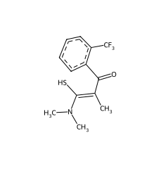 CC(C(=O)c1ccccc1C(F)(F)F)=C(S)N(C)C